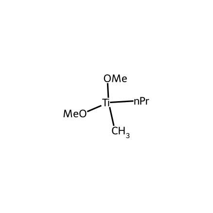 CC[CH2][Ti]([CH3])([O]C)[O]C